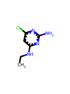 CCNc1cc(Cl)nc(N)n1